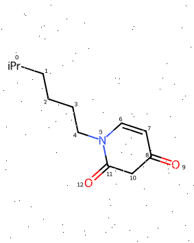 CC(C)CCCCN1C=CC(=O)CC1=O